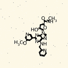 CNC(=O)[C@@H]1C[C@@H](O)[C@H](n2cnc3c(NCc4ccccn4)nc(-c4cncc(OC)c4)nc32)O1